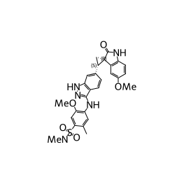 CNS(=O)(=O)c1cc(OC)c(Nc2n[nH]c3cc([C@@H]4C[C@@]45C(=O)Nc4ccc(OC)cc45)ccc23)cc1C